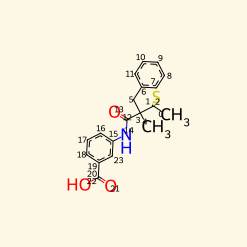 CC(=S)C(C)(Cc1ccccc1)C(=O)Nc1cccc(C(=O)O)c1